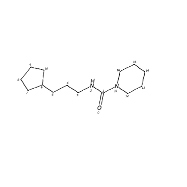 O=C(NCCCC1CCCC1)N1CCCCC1